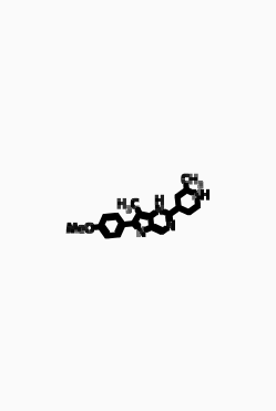 COc1ccc(-c2nc3cnc(C4CCNC(C)C4)[nH]c-3c2C)cc1